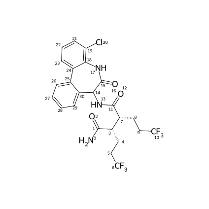 NC(=O)[C@@H](CCC(F)(F)F)[C@@H](CCC(F)(F)F)C(=O)NC1C(=O)Nc2c(Cl)cccc2-c2ccccc21